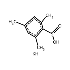 Cc1cc(C)c(S(=O)O)c(C)c1.[KH]